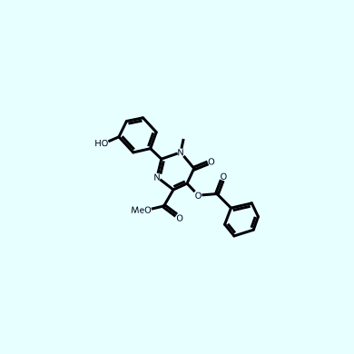 COC(=O)c1nc(-c2cccc(O)c2)n(C)c(=O)c1OC(=O)c1ccccc1